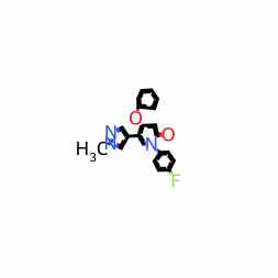 Cn1cc(-c2cn(-c3ccc(F)cc3)c(=O)cc2Oc2ccccc2)cn1